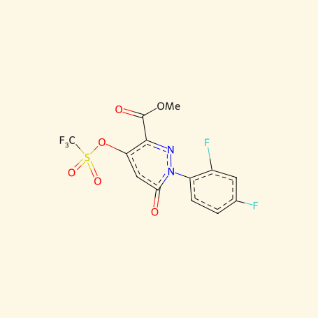 COC(=O)c1nn(-c2ccc(F)cc2F)c(=O)cc1OS(=O)(=O)C(F)(F)F